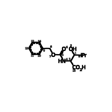 CC(C)C(O)C(NC(=O)OCc1ccccc1)C(=O)O